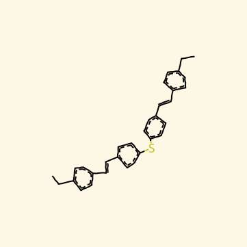 CCc1ccc(/C=C/c2ccc(Sc3ccc(/C=C/c4ccc(CC)cc4)cc3)cc2)cc1